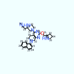 C[C@]1(COc2nc3c(c(N4CCNC(CC#N)C4)n2)CCN(c2cccc4ccccc24)C3)CCCN1